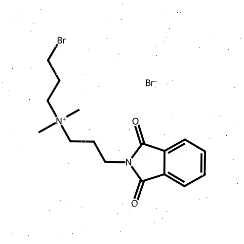 C[N+](C)(CCCBr)CCCN1C(=O)c2ccccc2C1=O.[Br-]